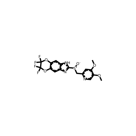 COc1cnc(C[S+]([O-])c2nc3cc4c(cc3[nH]2)OC(F)(F)C(F)(F)O4)cc1OC